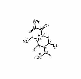 C=C(CCC)C(=O)NCC(CC)C(C(C)CCCC)C(C)OCC#N